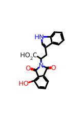 O=C(O)C(Cc1c[nH]c2ccccc12)N1C(=O)c2cccc(O)c2C1=O